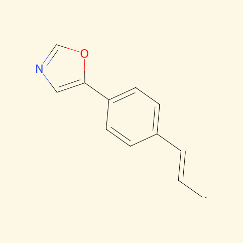 [CH2]/C=C/c1ccc(-c2cnco2)cc1